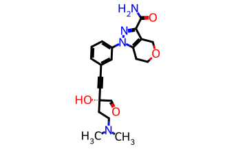 CN(C)CC[C@@](O)(C#Cc1cccc(-n2nc(C(N)=O)c3c2CCOC3)c1)C=O